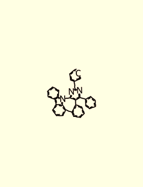 c1ccc(-c2nc(-c3ccccc3)c3c(n2)-n2c4ccccc4c4cccc(c42)-c2ccccc2-3)cc1